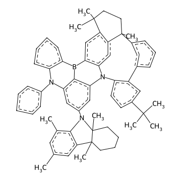 Cc1cc(C)c2c(c1)C1(C)CCCCC1(C)N2c1cc2c3c(c1)N1c4cc5c(cc4B3c3ccccc3N2c2ccccc2)C(C)(C)CCC5(C)c2cccc(c2)-c2cc(C(C)(C)C)ccc21